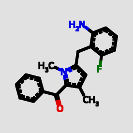 Cc1cc(Cc2c(N)cccc2F)n(C)c1C(=O)c1ccccc1